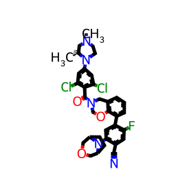 C[C@@H]1CN(C)CCN1c1cc(Cl)c(C(=O)N2COc3c(cccc3-c3cc(N4C5CCC4COC5)c(C#N)cc3F)C2)c(Cl)c1